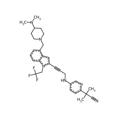 CN(C)C1CCN(Cc2cccc3c2cc(C#CCNc2ccc(C(C)(C)C#N)nc2)n3CC(F)(F)F)CC1